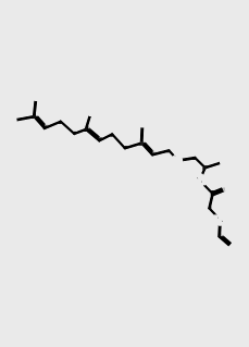 C=CNCC(=O)NC(C)CSC/C=C(\C)CC/C=C(\C)CCC=C(C)C